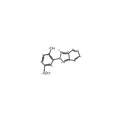 CCCCCCCCc1ccc(O)c(-n2nc3ccccc3n2)c1